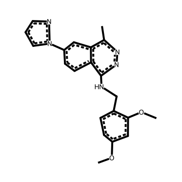 COc1ccc(CNc2nnc(C)c3cc(-n4cccn4)ccc23)c(OC)c1